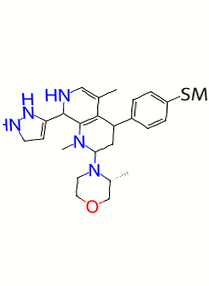 CSc1ccc(C2CC(N3CCOC[C@H]3C)N(C)C3=C2C(C)=CNC3C2=CCNN2)cc1